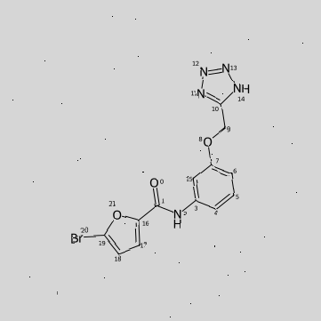 O=C(Nc1cccc(OCc2nnn[nH]2)c1)c1ccc(Br)o1